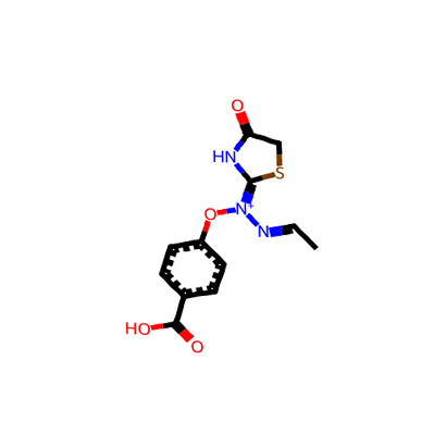 CC=N[N+](Oc1ccc(C(=O)O)cc1)=C1NC(=O)CS1